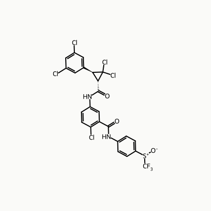 O=C(Nc1ccc([S+]([O-])C(F)(F)F)cc1)c1cc(NC(=O)[C@@H]2[C@@H](c3cc(Cl)cc(Cl)c3)C2(Cl)Cl)ccc1Cl